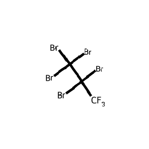 FC(F)(F)C(Br)(Br)C(Br)(Br)Br